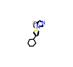 CC(C)CS1(n2ccnc2)C=CC(C2CCCCC2)=C1